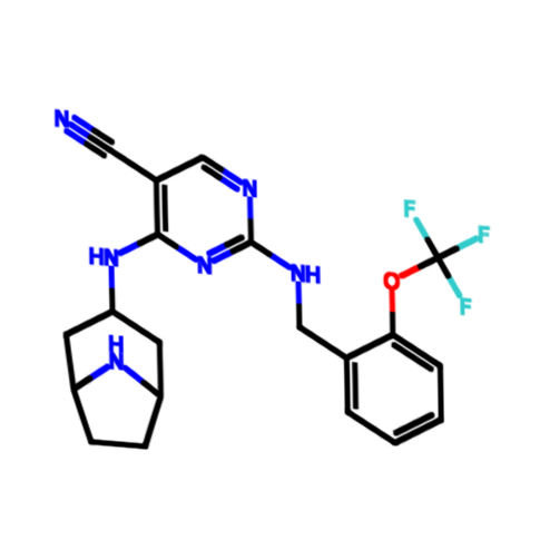 N#Cc1cnc(NCc2ccccc2OC(F)(F)F)nc1NC1CC2CCC(C1)N2